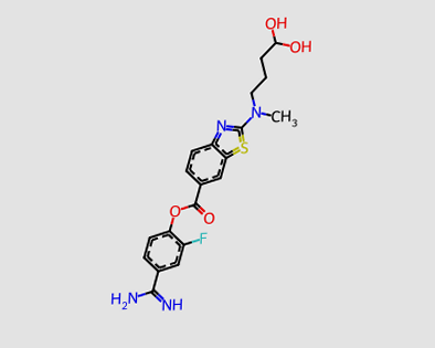 CN(CCCC(O)O)c1nc2ccc(C(=O)Oc3ccc(C(=N)N)cc3F)cc2s1